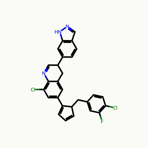 Fc1cc(CC2C=CC=C2c2cc(Cl)c3c(c2)CC(c2ccc4cn[nH]c4c2)C=N3)ccc1Cl